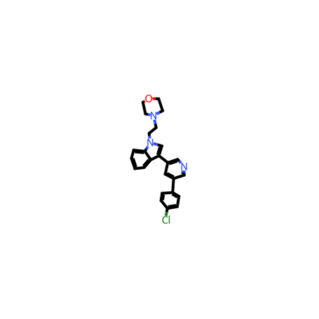 Clc1ccc(-c2cncc(-c3cn(CCN4CCOCC4)c4ccccc34)c2)cc1